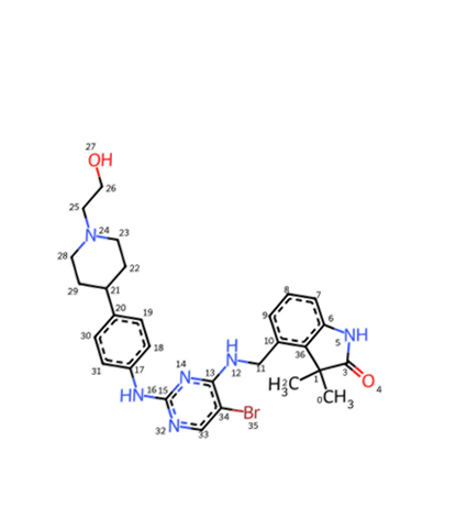 CC1(C)C(=O)Nc2cccc(CNc3nc(Nc4ccc(C5CCN(CCO)CC5)cc4)ncc3Br)c21